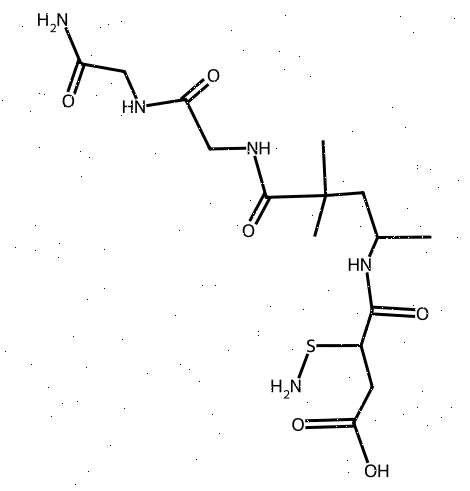 CC(CC(C)(C)C(=O)NCC(=O)NCC(N)=O)NC(=O)C(CC(=O)O)SN